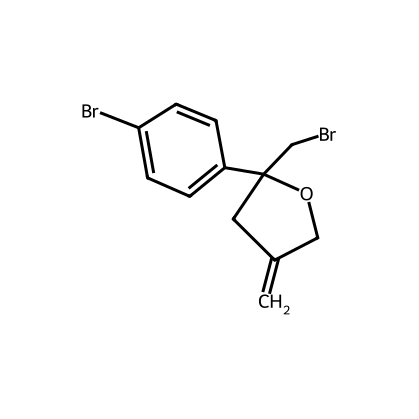 C=C1COC(CBr)(c2ccc(Br)cc2)C1